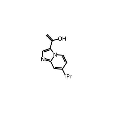 C=C(O)c1cnc2cc(C(C)C)ccn12